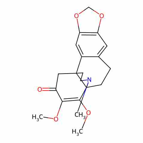 COC1=C(OC)C23CCc4cc5c(cc4C2(CCN3C)CC1=O)OCO5